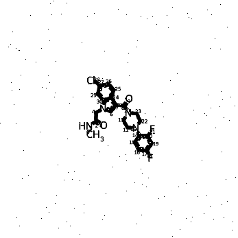 CNC(=O)Cn1cc(C(=O)N2CCN(c3ccc(F)cc3F)CC2)c2ccc(Cl)cc21